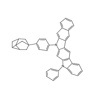 c1ccc(-n2c3ccccc3c3cc4c5cc6ccccc6cc5n(-c5ccc(C67CC8CC(C6)C(C8)C7)cc5)c4cc32)cc1